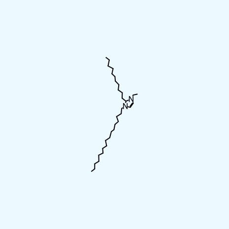 CCCCCCCCCCCCCCCCCN1C=CN(CC)C1CCCCCCCCCCC